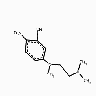 CN(C)CCN(C)c1ccc([N+](=O)[O-])c(C#N)c1